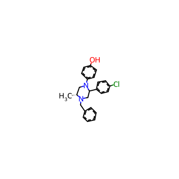 C[C@@H]1CN(c2ccc(O)cc2)C(c2ccc(Cl)cc2)CN1Cc1ccccc1